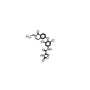 CCN1CCc2cc(Oc3c(Cl)cc(NC(=O)c4noc(=O)[nH]4)cc3Cl)ccc2C1=O